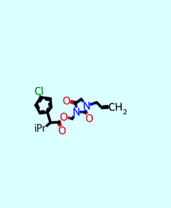 C=CCN1CC(=O)N(COC(=O)C(c2ccc(Cl)cc2)C(C)C)C1=O